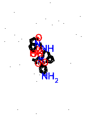 CC(C)CN(C[C@@H](O)[C@H](Cc1ccccc1)NC(=O)Cn1c(=O)ccc2ccc(O)cc21)S(=O)(=O)c1ccc(N)cc1